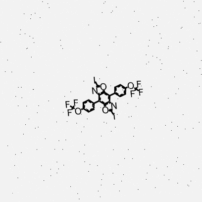 FC(F)(F)Oc1ccc(-c2c3nc(I)oc3c(-c3ccc(OC(F)(F)F)cc3)c3nc(I)oc23)cc1